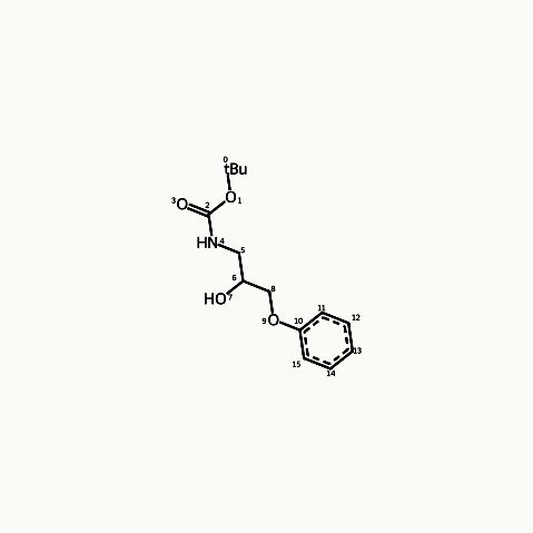 CC(C)(C)OC(=O)NCC(O)COc1ccccc1